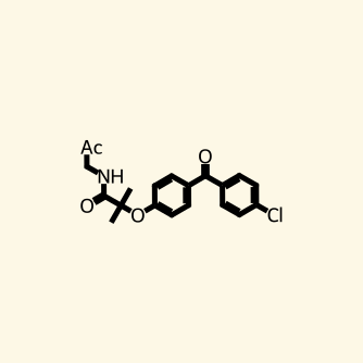 CC(=O)CNC(=O)C(C)(C)Oc1ccc(C(=O)c2ccc(Cl)cc2)cc1